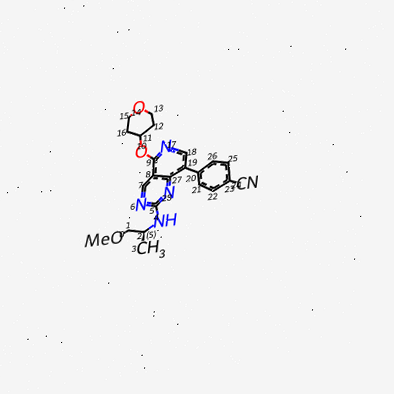 COC[C@H](C)Nc1ncc2c(OC3CCOCC3)ncc(-c3ccc(C#N)cc3)c2n1